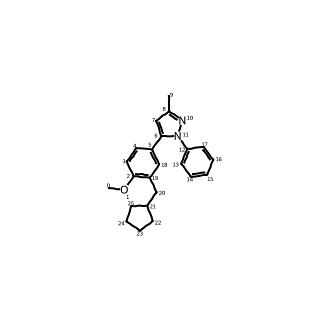 COc1ccc(-c2cc(C)nn2-c2ccccc2)cc1CC1CCCC1